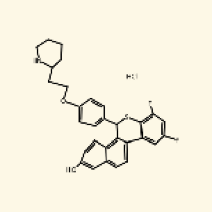 Cl.Oc1ccc2c3c(ccc2c1)-c1cc(F)cc(F)c1SC3c1ccc(OCCC2CCCCN2)cc1